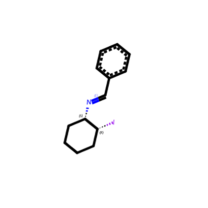 I[C@@H]1CCCC[C@@H]1/N=C/c1ccccc1